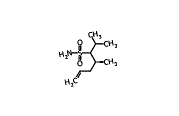 C=CC[C@H](C)C(C(C)C)S(N)(=O)=O